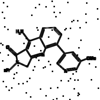 CCCN1Cc2nc3c(-c4cncc(OC)c4)cccc3c(N)c2C1=O